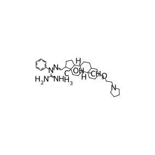 C[C@]12CCC(OCCN3CCCC3)CC1CC[C@@H]1[C@H]2CC[C@]2(C)C(/C=N/N(C(=N)N)c3ccccc3)CC[C@@]12O